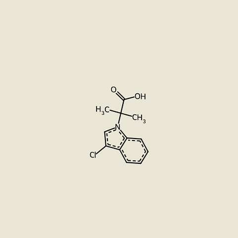 CC(C)(C(=O)O)n1cc(Cl)c2ccccc21